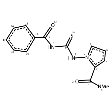 CNC(=O)c1cccn1NC(=S)NC(=O)c1ccccc1